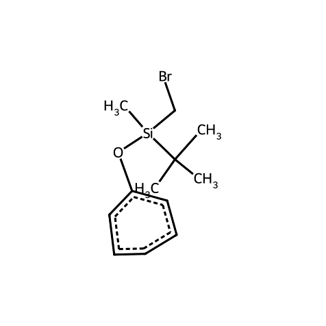 CC(C)(C)[Si](C)(CBr)Oc1ccccc1